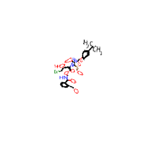 CC(C)c1ccc(OCC(=O)NC2C(=O)N(C(C(=O)OCNC(=O)c3ccccc3C=O)=C(O)CBr)C2SC=O)cc1